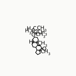 CC(C)(C)[Si](C)(C)OC1CC[C@]2(C)C3=CC(=O)[C@]4(C)CCCC4C3CC[C@@H]2C1